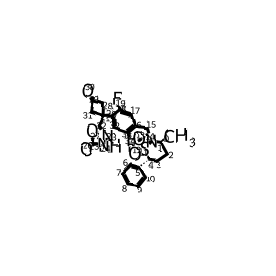 C[C@H]1CC[C@H](c2ccccc2)S(=O)(=O)N1Cc1cc(F)c(C2(c3n[nH]c(=O)o3)CC(=O)C2)cc1F